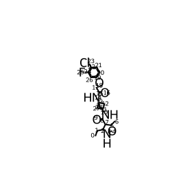 CCC1NOC(C)C1C(=O)NC12CC(NC(=O)COc3ccc(Cl)c(F)c3)(C1)C2